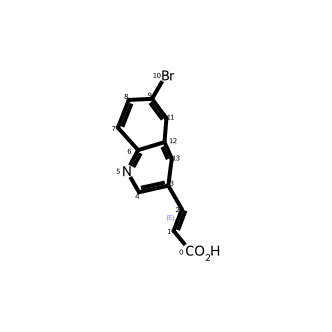 O=C(O)/C=C/c1cnc2ccc(Br)cc2c1